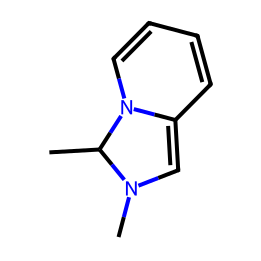 CC1N(C)C=C2C=CC=CN21